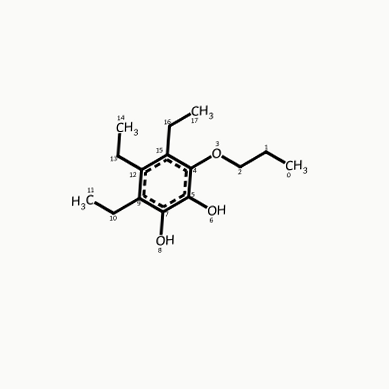 CCCOc1c(O)c(O)c(CC)c(CC)c1CC